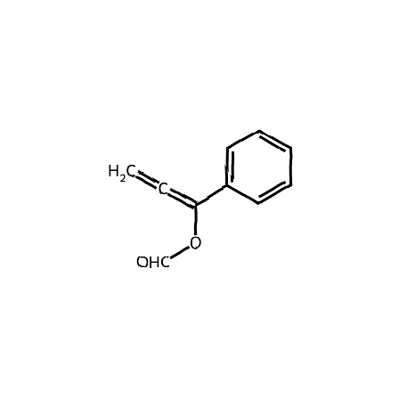 C=C=C(OC=O)c1ccccc1